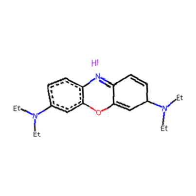 CCN(CC)c1ccc2c(c1)OC1=CC(N(CC)CC)C=CC1=N2.I